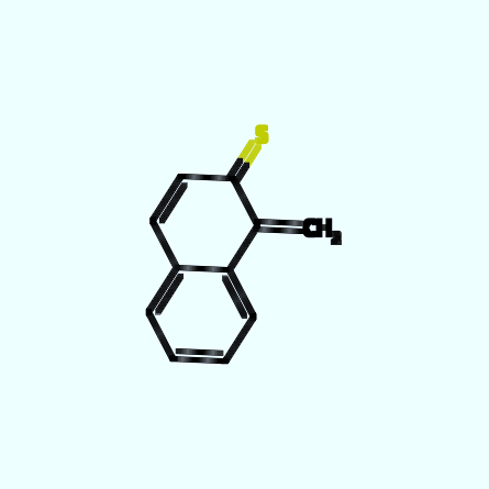 C=C1C(=S)C=Cc2ccccc21